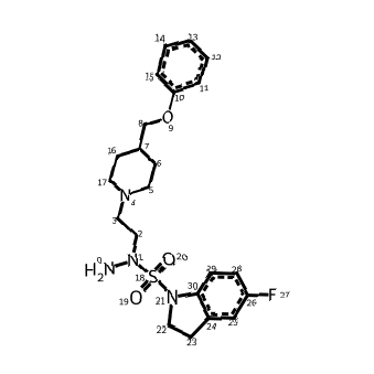 NN(CCN1CCC(COc2ccccc2)CC1)S(=O)(=O)N1CCc2cc(F)ccc21